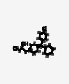 OC(CCl)CN1CCN(C(c2ccccc2)c2ccc(Cl)cc2)CC1